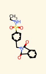 CCNS(=O)(=O)c1ccc(CN2C(=O)c3ccccc3C2=O)cc1